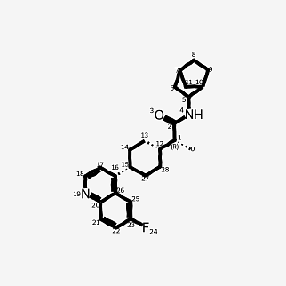 C[C@@H](C(=O)NC1CC2CCC1C2)[C@H]1CC[C@@H](c2ccnc3ccc(F)cc32)CC1